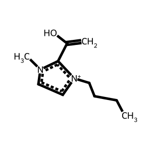 C=C(O)c1n(C)cc[n+]1CCCC